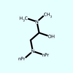 CCCN(CCC)CC(O)N(C)C